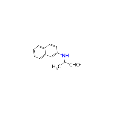 CC([C]=O)Nc1ccc2ccccc2c1